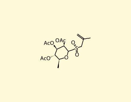 C=C(C)CS(=O)(=O)C1O[C@@H](C)[C@H](OC(C)=O)[C@@H](OC(C)=O)[C@H]1OC(C)=O